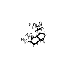 Cc1ccc2cccc(OS(=O)(=O)C(F)(F)F)c2c1C